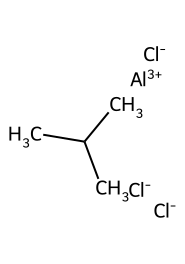 CC(C)C.[Al+3].[Cl-].[Cl-].[Cl-]